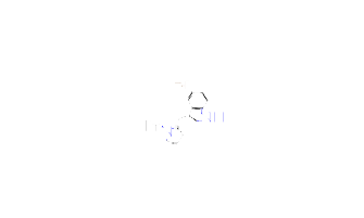 CC(C)N1CCC[C@@H]1Cc1c[nH]c2ccc(Br)cc12